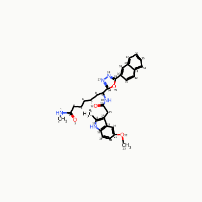 CNC(=O)CCCCCC(NC(=O)Cc1c(C)[nH]c2ccc(OC)cc12)c1nnc(-c2ccc3ccccc3c2)o1